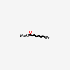 COC(=O)CCCCC=CC(C)C